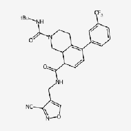 CC(C)(C)NC(=O)N1CCC2=C(c3cccc(C(F)(F)F)c3)C=CC(C(=O)NCc3conc3C#N)C2C1